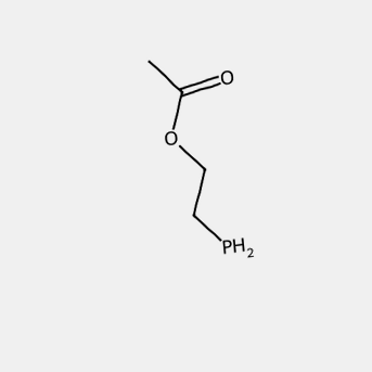 CC(=O)OCCP